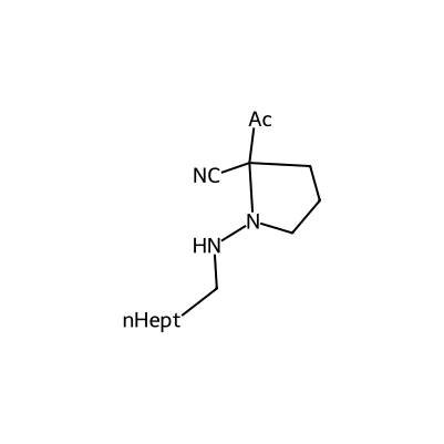 CCCCCCCCNN1CCCC1(C#N)C(C)=O